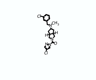 CN(Cc1cccc(Cl)c1)[C@@H]1C[C@@H]2CN(C(=O)n3cc(Cl)cn3)C[C@@H]2C1